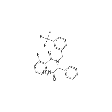 NC(=O)[C@@H](c1ccccc1)N(Cc1cccc(C(F)(F)F)c1)C(=O)c1ccccc1F